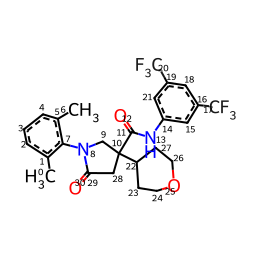 Cc1cccc(C)c1N1CC(C(=O)Nc2cc(C(F)(F)F)cc(C(F)(F)F)c2)(C2CCOCC2)CC1=O